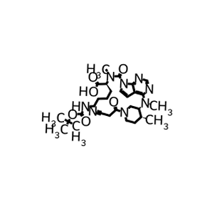 C[C@@H]1CCN(C(=O)CC#N)C[C@@H]1N(C)c1ncnc2c1ccn2C(=O)N(C)[C@@H](CCCCNC(=O)OC(C)(C)C)C(=O)O